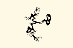 CCC1C[C@]1(NC(=O)[C@@H]1C[C@@H](OCc2cccc3cccnc23)CN1C(=O)[C@@H](NC(=O)OC(C)(C)C)C1CCCCC1)C(=O)OC